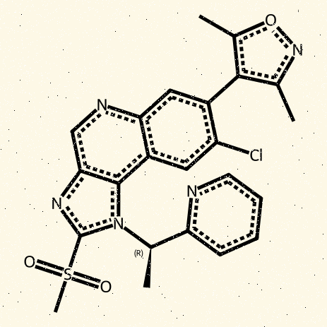 Cc1noc(C)c1-c1cc2ncc3nc(S(C)(=O)=O)n([C@H](C)c4ccccn4)c3c2cc1Cl